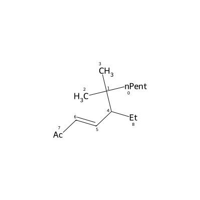 CCCCCC(C)(C)C(/C=C/C(C)=O)CC